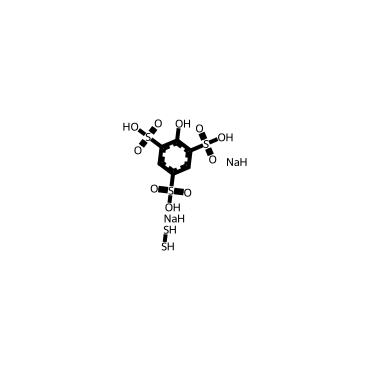 O=S(=O)(O)c1cc(S(=O)(=O)O)c(O)c(S(=O)(=O)O)c1.SS.[NaH].[NaH]